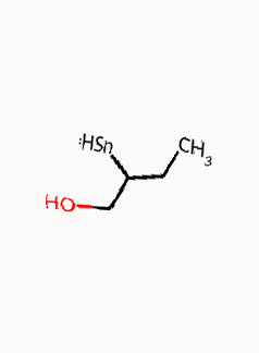 CC[CH]([SnH])CO